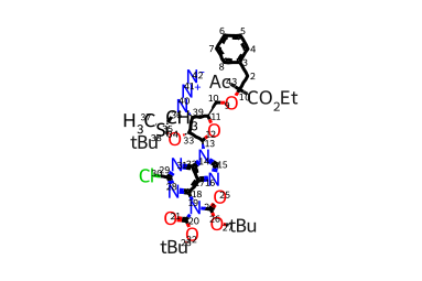 CCOC(=O)C(Cc1ccccc1)(OC[C@H]1O[C@@H](n2cnc3c(N(C(=O)OC(C)(C)C)C(=O)OC(C)(C)C)nc(Cl)nc32)[C@H](O[Si](C)(C)C(C)(C)C)[C@@H]1N=[N+]=[N-])C(C)=O